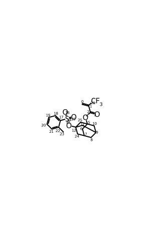 C=C(C(=O)OC12CC3CC(C1)CC(OS(=O)(=O)c1ccccc1C)(C3)C2)C(F)(F)F